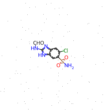 NS(=O)(=O)c1cc2[nH]c(NC=O)nc2cc1Cl